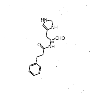 O=C[C@H](CC1=CNCN1)NC(=O)CCc1ccccc1